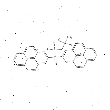 CC(F)(F)CC(F)(F)P(=O)(c1cc2ccc3cccc4ccc(c1)c2c34)c1cc2ccc3cccc4ccc(c1)c2c34